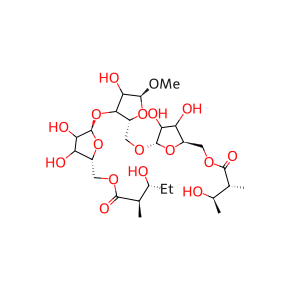 CC[C@@H](O)[C@@H](C)C(=O)OC[C@H]1O[C@H](OC2C(O)[C@@H](OC)O[C@@H]2CO[C@H]2O[C@H](COC(=O)[C@H](C)[C@@H](C)O)C(O)C2O)C(O)C1O